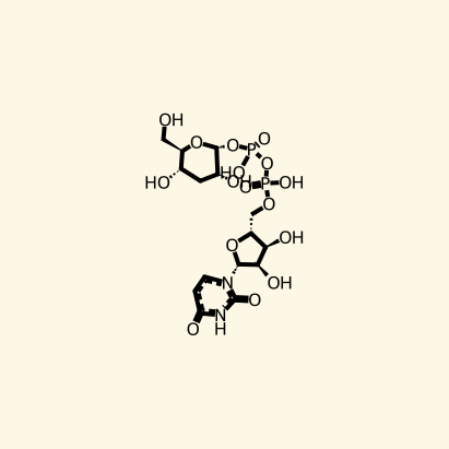 O=c1ccn([C@@H]2O[C@H](COP(=O)(O)OP(=O)(O)O[C@H]3O[C@H](CO)[C@@H](O)C[C@H]3O)[C@@H](O)[C@H]2O)c(=O)[nH]1